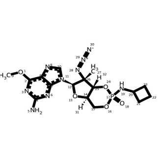 COc1nc(N)nc2c1ncn2[C@@H]1O[C@@H]2COP(=O)(NC3CCC3)O[C@H]2[C@@]1(C)N=[N+]=[N-]